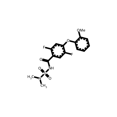 COc1ccccc1Oc1cc(F)c(C(=O)NS(=O)(=O)N(C)C)cc1F